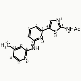 CC(=O)Nc1ncc(-c2cccc(Nc3cc(C)ccn3)n2)s1